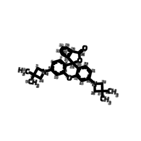 CC1(C)CN(c2ccc3c(c2)Oc2cc(N4CC(C)(C)C4)ccc2C32OC(=O)c3ccccc32)C1